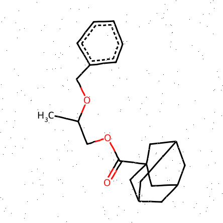 CC(COC(=O)C12CC3CC(CC(C3)C1)C2)OCc1ccccc1